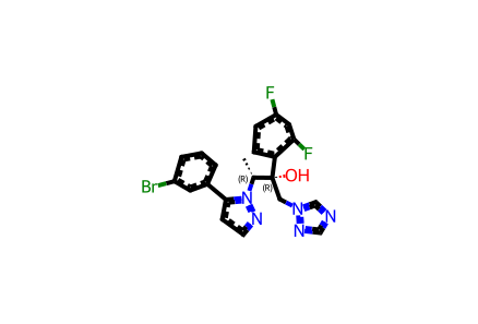 C[C@@H](n1nccc1-c1cccc(Br)c1)[C@](O)(Cn1cncn1)c1ccc(F)cc1F